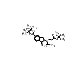 CC(C)(C)OC(=O)CC[C@H](C(N)=O)N1Cc2cc(B3OC(C)(C)C(C)(C)O3)ccc2C1=O